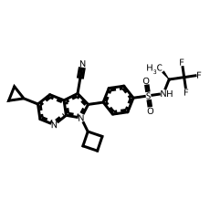 C[C@H](NS(=O)(=O)c1ccc(-c2c(C#N)c3cc(C4CC4)cnc3n2C2CCC2)cc1)C(F)(F)F